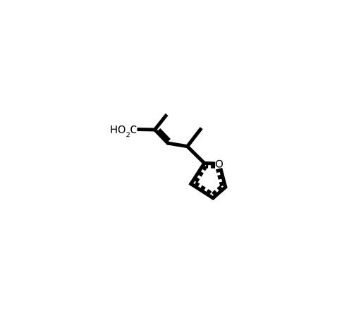 CC(=CC(C)c1ccco1)C(=O)O